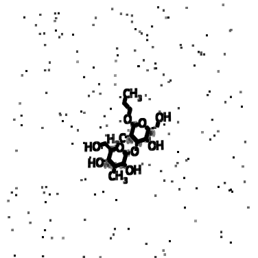 CCCO[C@H]1O[C@H](CO)[C@@H](O)[C@H](O[C@H]2O[C@H](CO)[C@@H](O)[C@H](C)[C@@H]2O)[C@@H]1C